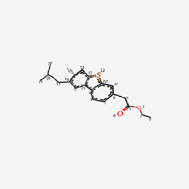 CCOC(=O)Cc1ccc2c(c1)sc1ccc(CC(C)C)cc12